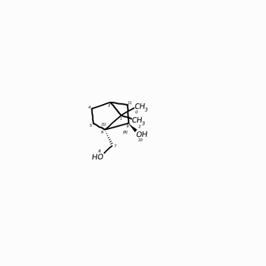 CC1(C)C2CC[C@]1(CO)[C@H](O)C2